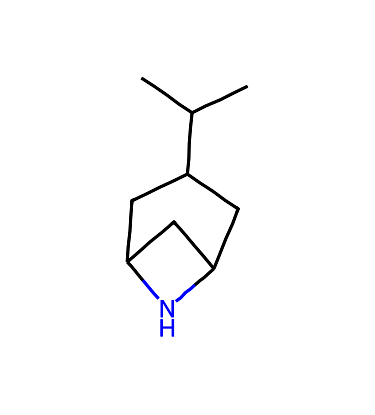 CC(C)C1CC2CC(C1)N2